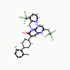 Cc1cccc(F)c1C1CCC(c2cc3nc(CC(F)(F)F)cnc3n(Cc3ncccc3C(F)(F)F)c2=O)CC1